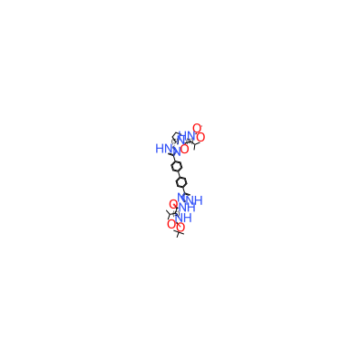 COC(=O)N[C@H](C(=O)N1CCC[C@H]1c1nc(-c2ccc(-c3ccc(-c4c[nH]c(NC(=O)[C@@H](NC(=O)OC(C)(C)C)C(C)C)n4)cc3)cc2)c[nH]1)C(C)C